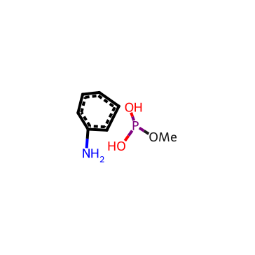 COP(O)O.Nc1ccccc1